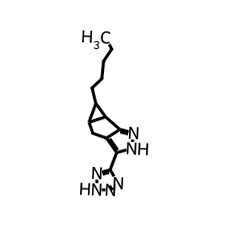 CCCCCC1C2Cc3c(n[nH]c3-c3nn[nH]n3)C12